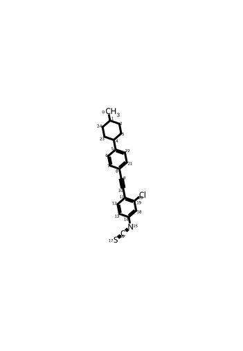 CC1CCC(c2ccc(C#Cc3ccc(N=C=S)cc3Cl)cc2)CC1